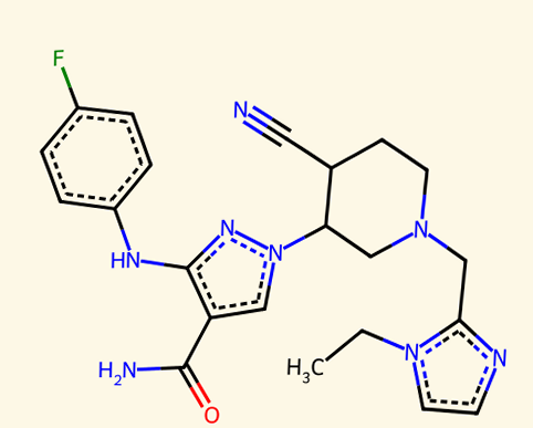 CCn1ccnc1CN1CCC(C#N)C(n2cc(C(N)=O)c(Nc3ccc(F)cc3)n2)C1